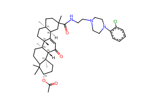 CC(=O)O[C@H]1CC[C@@]2(C)C(CC[C@]3(C)[C@@H]2C(=O)C=C2[C@@H]4CC(C)(C(=O)NCCN5CCN(c6ccccc6Cl)CC5)CC[C@]4(C)CC[C@]23C)C1(C)C